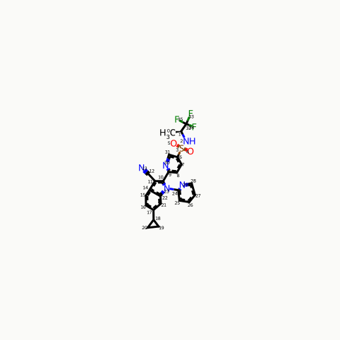 C[C@H](NS(=O)(=O)c1ccc(-c2c(C#N)c3ccc(C4CC4)cc3n2-c2ccccn2)nc1)C(F)(F)F